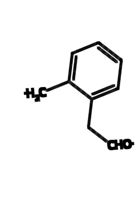 [CH2]c1ccccc1C[C]=O